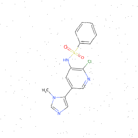 Cn1cncc1-c1cnc(Cl)c(NS(=O)(=O)c2ccccc2)c1